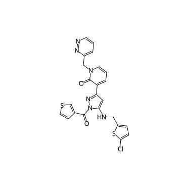 O=C(c1ccsc1)n1nc(-c2cccn(Cc3cccnn3)c2=O)cc1NCc1ccc(Cl)s1